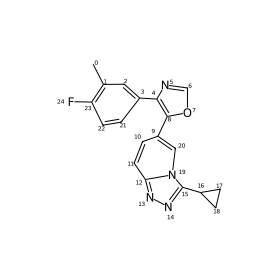 Cc1cc(-c2ncoc2-c2ccc3nnc(C4CC4)n3c2)ccc1F